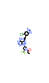 C=CC(=O)N1C[C@@H](n2nc(C#Cc3cc4ncn(C)c4cc3Cl)c3c(N)ncnc32)C[C@@H]1C(F)F